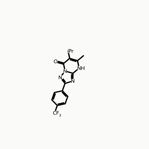 Cc1[nH]c2nc(-c3ccc(C(F)(F)F)cc3)nn2c(=O)c1C(C)C